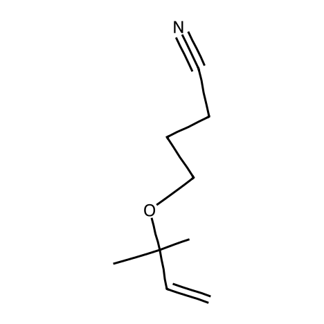 C=CC(C)(C)OCCCC#N